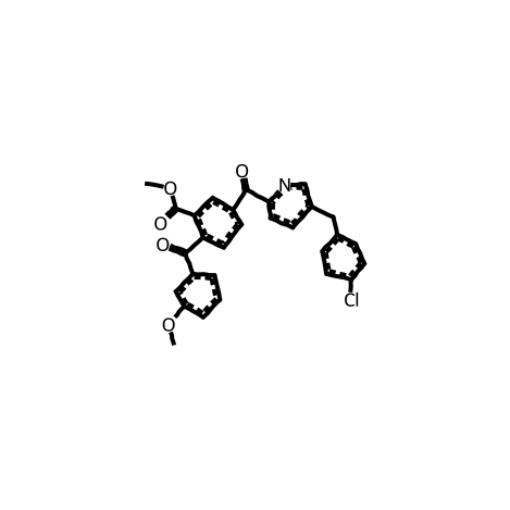 COC(=O)c1cc(C(=O)c2ccc(Cc3ccc(Cl)cc3)cn2)ccc1C(=O)c1cccc(OC)c1